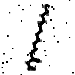 CCCCOC(=O)CCCOCCOCCOC(C)C